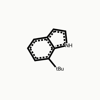 [CH2]C(C)(C)c1cccc2cc[nH]c12